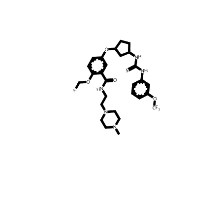 CN1CCN(CCNC(=O)c2cc(OC3CCC(NC(=S)Nc4cccc(OC(F)(F)F)c4)C3)ccc2OCF)CC1